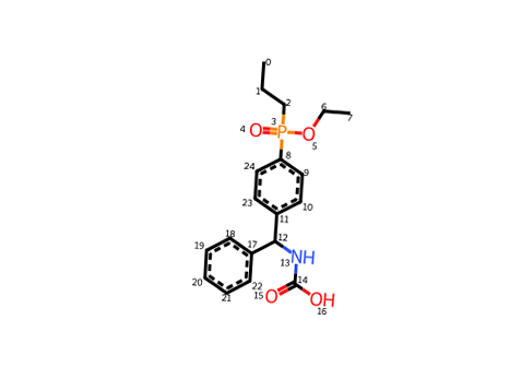 CCCP(=O)(OCC)c1ccc(C(NC(=O)O)c2ccccc2)cc1